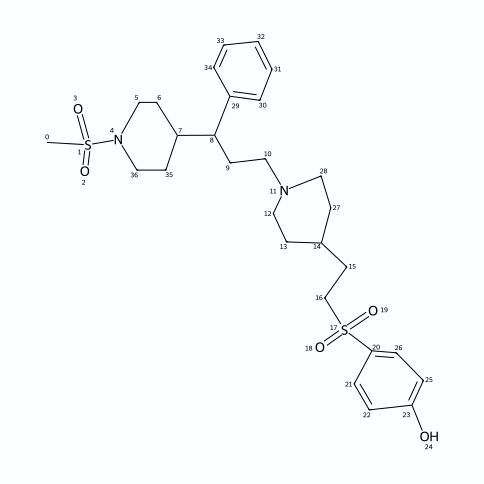 CS(=O)(=O)N1CCC(C(CCN2CCC(CCS(=O)(=O)c3ccc(O)cc3)CC2)c2ccccc2)CC1